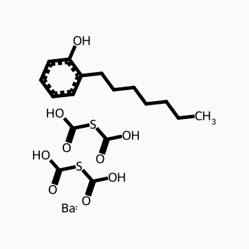 CCCCCCCc1ccccc1O.O=C(O)SC(=O)O.O=C(O)SC(=O)O.[Ba]